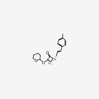 Cc1ccc(C=CC[C@H]2C(=O)N(OC3CCCCO3)[C@H]2C)cc1